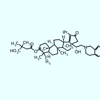 CC(C)C1=C2[C@H]3CC[C@@H]4[C@@]5(C)CC[C@H](OC(=O)CC(C)(C)C(=O)O)C(C)(C)[C@@H]5CC[C@@]4(C)[C@]3(C)CC[C@@]2([C@@H](O)CN2CCc3ccccc3C2)CC1=O